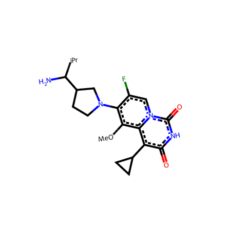 COc1c(N2CCC(C(N)C(C)C)C2)c(F)cn2c(=O)[nH]c(=O)c(C3CC3)c12